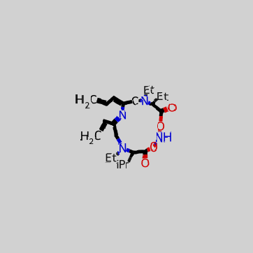 C=C/C=C1CN(CC)C(CC)C(=O)ONOC(=O)C(C(C)C)N(CC)C/C(C=C)=N/1